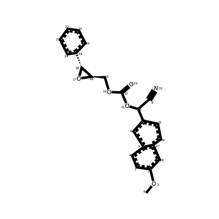 COc1ccc2cc(C(C#N)OC(=O)OC[C@H]3O[C@@H]3c3ccccc3)ccc2c1